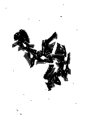 CC(C)NC1=C(C(=N)c2cc(OC(F)F)ccc2F)OCC(C(=O)N[C@@]2(C)CCS(=O)(=O)C2)C1